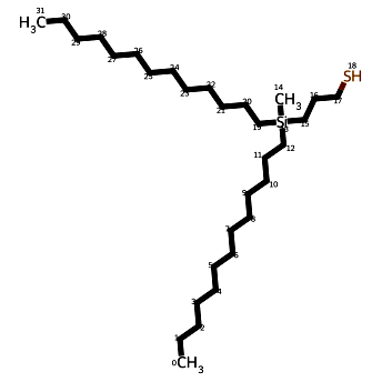 CCCCCCCCCCCCC[Si](C)(CCCS)CCCCCCCCCCCCC